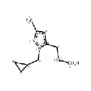 O=C(O)NCc1cc(C(F)(F)F)nn1CC1CC1